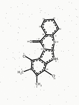 Cc1c(C)c(Cl)c2c([nH]c3nc4ccccc4c(=O)n32)c1Cl